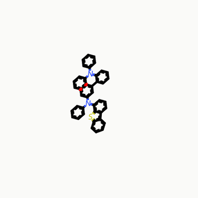 c1ccc(N(c2ccccc2)c2ccccc2-c2cccc(N(c3ccccc3)c3cccc4c3sc3ccccc34)c2)cc1